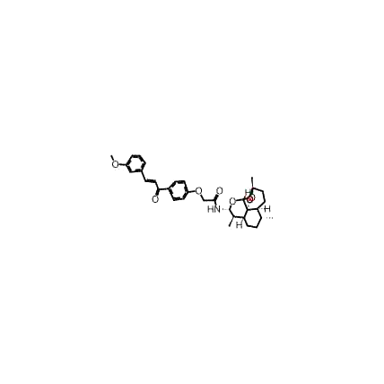 COc1cccc(/C=C/C(=O)c2ccc(OCC(=O)N[C@@H]3O[C@@H]4O[C@@]5(C)CC[C@H]6[C@H](C)CC[C@@H]([C@H]3C)[C@@]46OO5)cc2)c1